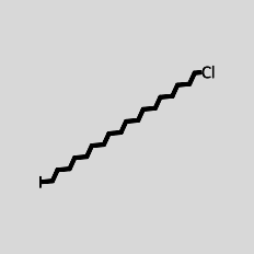 ClCCCCCCCCCCCCCCCCCCI